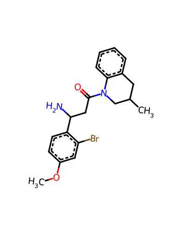 COc1ccc(C(N)CC(=O)N2CC(C)Cc3ccccc32)c(Br)c1